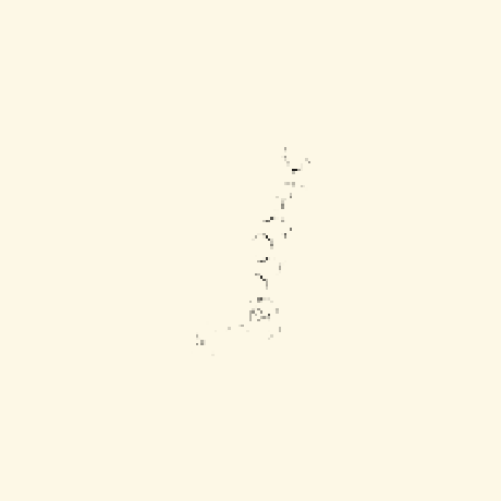 CCOc1nc(-c2ccc(-c3cnc(OCC(C)(C)C(=O)OC)cc3C)cc2)nn1COCC[Si](C)(C)C